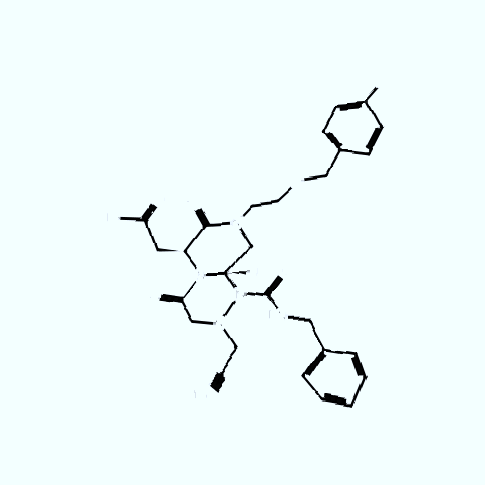 C#CCN1CC(=O)N2[C@@H](CC(=O)O)C(=O)N(CCOCc3ccc(F)cc3)C[C@@H]2N1C(=O)NCc1ccccc1